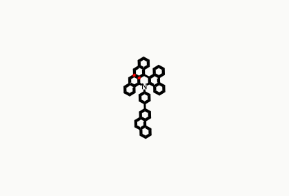 c1ccc2c(-c3c(N(c4ccc(-c5ccc6c(ccc7ccccc76)c5)cc4)c4cccc5ccccc45)c4ccccc4c4ccccc34)cccc2c1